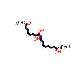 CCCCC[C@@H](O)CCC\C=C/C=C/C=C(O)\C(O)=C\C=C/C=C/C(=O)OC